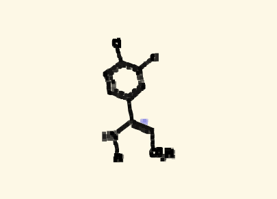 CCN/C(=C\C(=O)OCC)c1ccc(Cl)c(Cl)c1